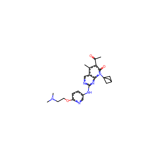 CC(=O)c1c(C)c2cnc(Nc3ccc(OCCN(C)C)nc3)nc2n(C23CC(C2)C3)c1=O